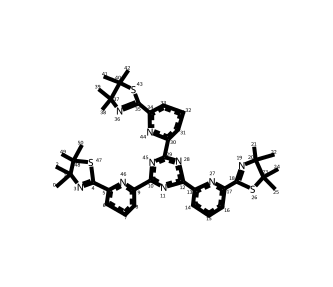 CC1(C)N=C(c2cccc(-c3nc(-c4cccc(C5=NC(C)(C)C(C)(C)S5)n4)nc(-c4cccc(C5=NC(C)(C)C(C)(C)S5)n4)n3)n2)SC1(C)C